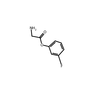 NCC(=O)Oc1cccc(F)c1